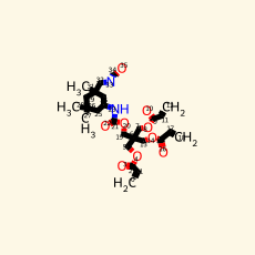 C=CC(=O)OCC(COC(=O)C=C)(COC(=O)C=C)COC(=O)NC1CC(C)(C)CC(C)(CN=C=O)C1